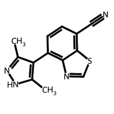 Cc1n[nH]c(C)c1-c1ccc(C#N)c2scnc12